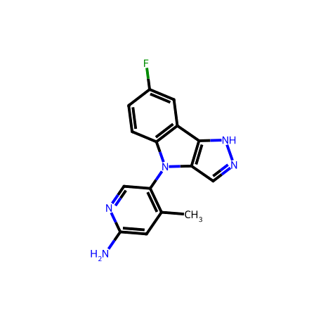 Cc1cc(N)ncc1-n1c2ccc(F)cc2c2[nH]ncc21